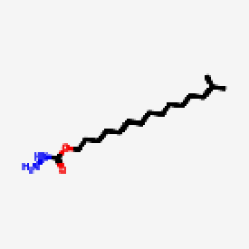 CC(C)CCCCCCCCCCCCCOC(=O)NN